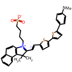 CNc1ccc(-c2ccc(-c3ccc(/C=C/C4=[N+](CCCCS(=O)(=O)[O-])c5ccc6ccccc6c5C4(C)C)s3)s2)cc1